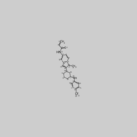 C=CC(=O)Nc1ccc2c(c1)nc(N1CCCC(Nc3ncc(C(F)(F)F)cn3)C1)n2C